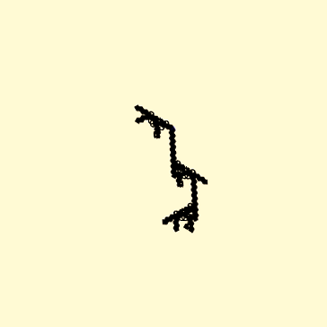 CCCCCC(CCCCC)OC(=O)CN(CC(=O)OC/C=C\CCCCCCCCCCCC(CCCCC)OC(=O)CN(CC(=O)OC(CCCCC)CCCCCCCCCCC(CCCCC)OC(=O)CN(CC(=O)OC(CCCCC)CCCCC)C(=O)SCCCN(CC)CC)C(=O)SCCCN(C)C)C(=O)SCCN(C)C